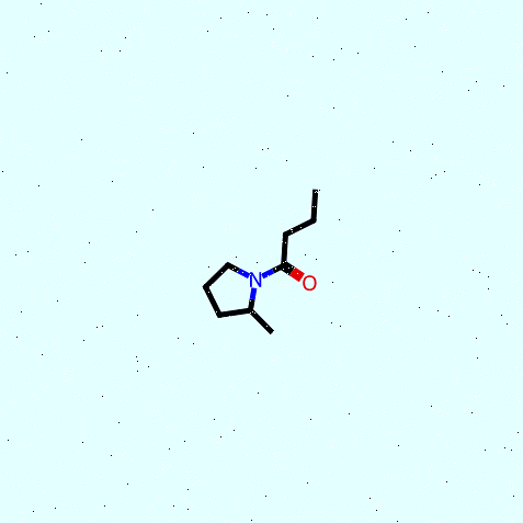 CCCC(=O)N1CCCC1C